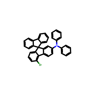 Brc1cccc2c1-c1ccc(N(c3ccccc3)c3ccccc3)cc1C21c2ccccc2-c2ccccc21